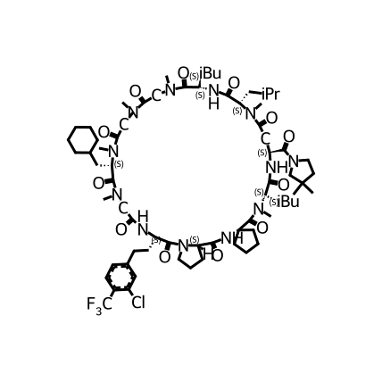 CC[C@H](C)[C@@H]1NC(=O)[C@H](CC(C)C)N(C)C(=O)C[C@@H](C(=O)N2CCC(C)(C)C2)NC(=O)[C@H]([C@@H](C)CC)N(C)C(=O)C2(CCCC2)NC(=O)[C@@H]2CCCN2C(=O)[C@H](CCc2ccc(C(F)(F)F)c(Cl)c2)NC(=O)CN(C)C(=O)[C@H](CC2CCCCC2)N(C)C(=O)CN(C)C(=O)CN(C)C1=O